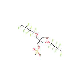 CS(=O)(=O)OCC(CBr)(COC(F)(F)C(F)(F)C(F)(F)CF)COC(F)(F)C(F)(F)C(F)(F)CF